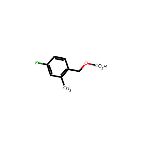 Cc1cc(F)ccc1COC(=O)O